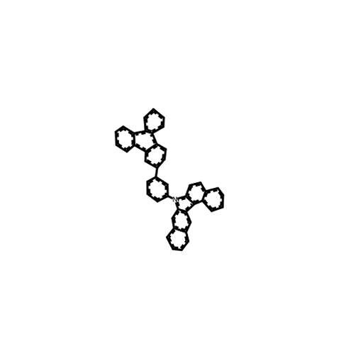 c1cc(-c2ccc3c4ccccc4c4ccccc4c3c2)cc(-n2c3cc4ccccc4cc3c3c4ccccc4ccc32)c1